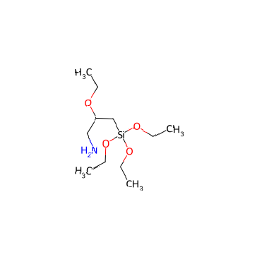 CCOC(CN)C[Si](OCC)(OCC)OCC